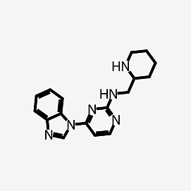 c1ccc2c(c1)ncn2-c1ccnc(NCC2CCCCN2)n1